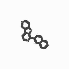 c1ccc2nc(-c3nccc4c3sc3ccncc34)ccc2c1